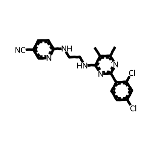 Cc1nc(-c2ccc(Cl)cc2Cl)nc(NCCNc2ccc(C#N)cn2)c1C